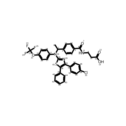 CC(c1ccc(C(=O)NCCC(=O)O)cc1)N(c1ccc(OC(F)(F)F)cc1)c1nc(-c2ccc(Cl)cc2)c(-c2ccccc2)s1